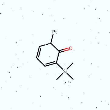 C[Si](C)(C)C1=CC=C[CH]([Pt])C1=O